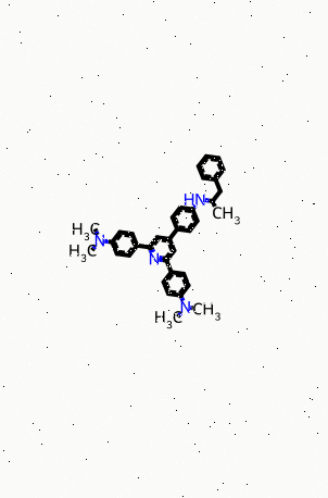 CC(Cc1ccccc1)Nc1ccc(-c2cc(-c3ccc(N(C)C)cc3)nc(-c3ccc(N(C)C)cc3)c2)cc1